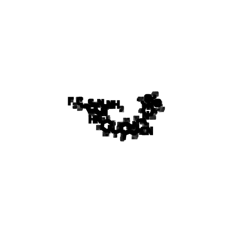 Cc1c(CN2CCC(Nc3nc(N)nc4sc(CC(F)(F)F)cc34)CC2)ccc2c1cc(C#N)n2C[C@H](C)N1C[C@@H](C)N(S(C)(=O)=O)[C@H](C)C1